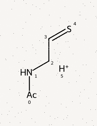 [CH2]C(=O)NCC=S.[H+]